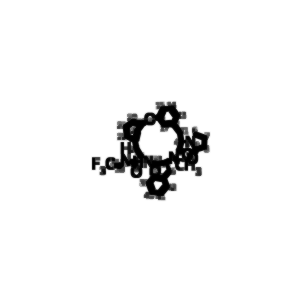 CN1C(=O)[C@@H](N2CCCC2=O)Cc2cccc(c2)Oc2cccc(c2)C[C@@H](C(=O)NCC(F)(F)F)NC(=O)[C@@H]1Cc1ccccc1